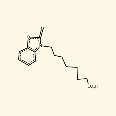 O=C(O)CCCCCCCn1c(=O)oc2ccccc21